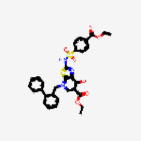 CCOC(=O)c1ccc(S(=O)(=O)Nc2nc3c(=O)c(C(=O)OCC)cn(Cc4ccccc4-c4ccccc4)c3s2)cc1